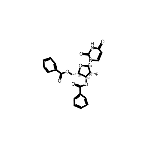 O=C(OC[C@@H]1O[C@H](n2ccc(=O)[nH]c2=O)[C@H](F)[C@H]1OC(=O)c1ccccc1)c1ccccc1